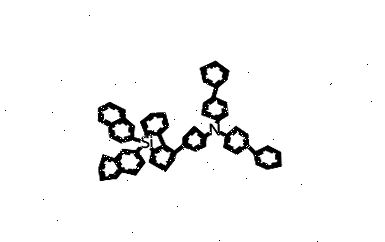 c1ccc(-c2ccc(N(c3ccc(-c4ccccc4)cc3)c3ccc(-c4cccc5c4-c4ccccc4[Si]5(c4ccc5ccccc5c4)c4ccc5ccccc5c4)cc3)cc2)cc1